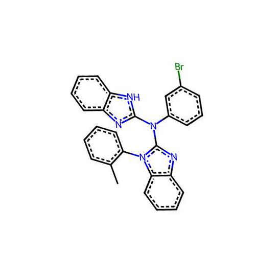 Cc1ccccc1-n1c(N(c2cccc(Br)c2)c2nc3ccccc3[nH]2)nc2ccccc21